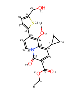 CCOC(=O)c1cc(C2CC2)c2c(OC)c(-c3ccc(CO)s3)ccn2c1=O